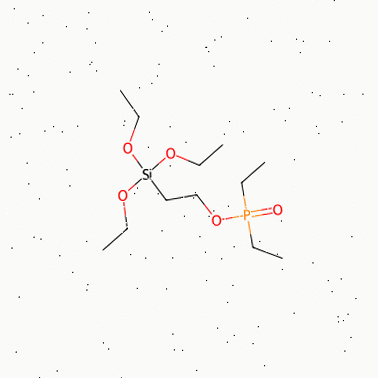 CCO[Si](CCOP(=O)(CC)CC)(OCC)OCC